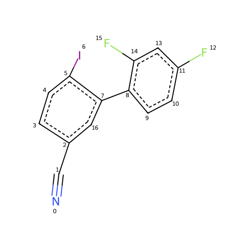 N#Cc1ccc(I)c(-c2ccc(F)cc2F)c1